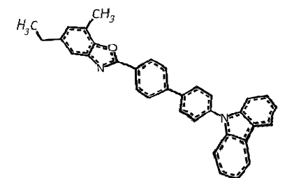 CCc1cc(C)c2oc(-c3ccc(-c4ccc(-n5c6ccccc6c6ccccc65)cc4)cc3)nc2c1